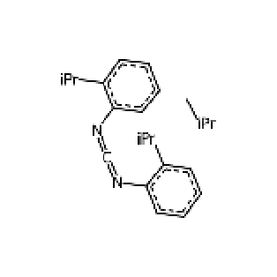 CC(C)C.CC(C)c1ccccc1N=C=Nc1ccccc1C(C)C